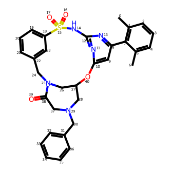 Cc1cccc(C)c1-c1cc2nc(n1)NS(=O)(=O)c1cccc(c1)CN1CC(CN(Cc3ccccc3)CC1=O)O2